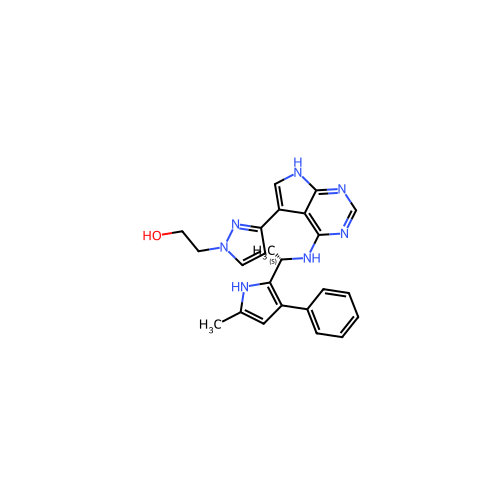 Cc1cc(-c2ccccc2)c([C@H](C)Nc2ncnc3[nH]cc(-c4ccn(CCO)n4)c23)[nH]1